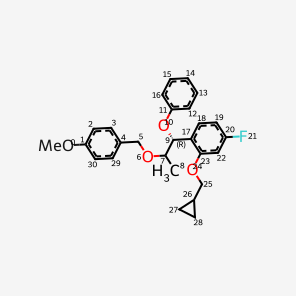 COc1ccc(COC(C)[C@H](Oc2ccccc2)c2ccc(F)cc2OCC2CC2)cc1